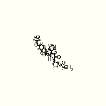 C=CC(=O)N1CCC[C@@H](NC(=O)c2sc3nccc4c3c2NC(=O)N4c2ccc(O[C@H]3CCOC3)cc2C)C1